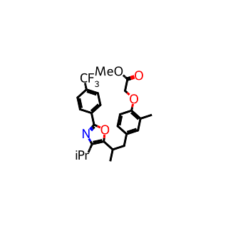 COC(=O)COc1ccc(CC(C)c2oc(-c3ccc(C(F)(F)F)cc3)nc2C(C)C)cc1C